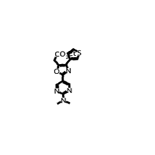 CCOC(=O)Cc1oc(-c2cnc(N(C)C)nc2)nc1-c1ccsc1